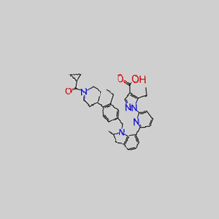 CCc1cc(CN2c3c(cccc3-c3cccc(-n4ncc(C(=O)O)c4CC)n3)CC2C)ccc1C1CCN(C(=O)C2CC2)CC1